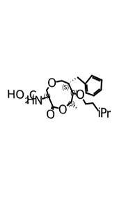 CC(C)CCO[C@@H]1[C@@H](Cc2ccccc2)COC[C@H](NC(=O)O)C(=O)O[C@H]1C